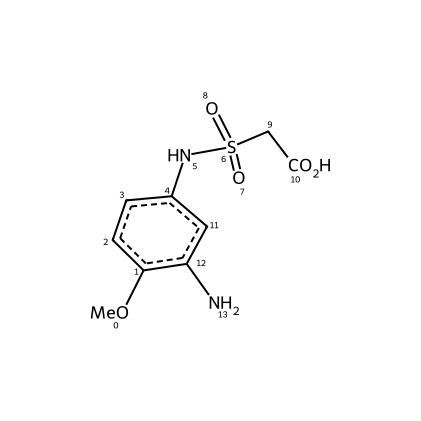 COc1ccc(NS(=O)(=O)CC(=O)O)cc1N